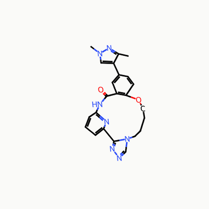 Cc1nn(C)cc1-c1ccc2c(c1)C(=O)Nc1cccc(n1)-c1nncn1CCCCO2